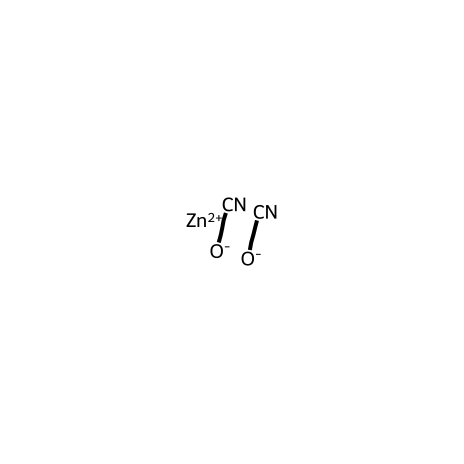 N#C[O-].N#C[O-].[Zn+2]